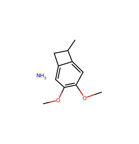 COc1cc2c(cc1OC)C(C)C2.N